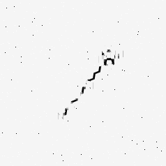 CCN1C(=O)N[C@H]2CS[C@@H](CCCCC(=O)NCCOCCOCCN)[C@H]21